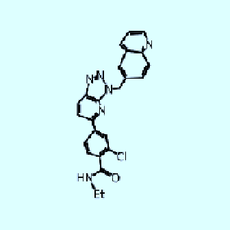 CCNC(=O)c1ccc(-c2ccc3nnn(Cc4ccc5ncccc5c4)c3n2)cc1Cl